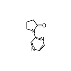 O=C1CC[CH]N1c1cnccn1